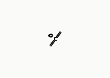 C=C=C.[O]